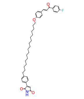 O=C1C=C(c2ccc(CCCCCCCCCCCCCCCCCCOc3ccc(C=CC(=O)c4ccc(F)cc4)cc3)cc2)C(=O)N1